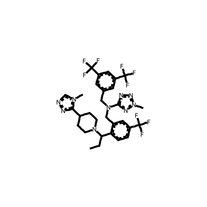 CCC(c1ccc(C(F)(F)F)cc1CN(Cc1cc(C(F)(F)F)cc(C(F)(F)F)c1)c1nnn(C)n1)N1CCC(c2nncn2C)CC1